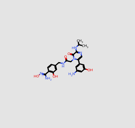 CC(C)Nc1ncc(-c2cc(N)cc(O)c2)n(CC(=O)NCc2ccc(/C(N)=N/O)c(O)c2)c1=O